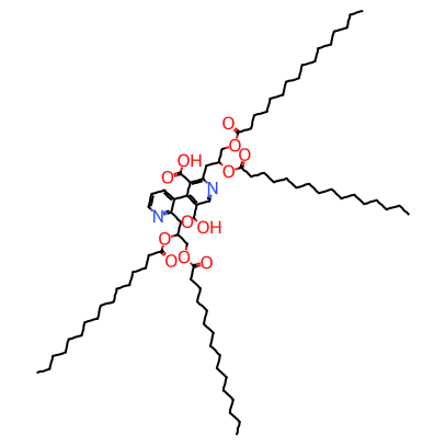 CCCCCCCCCCCCCCCC(=O)OCC(Cc1ncccc1-c1c(C(=O)O)cnc(CC(COC(=O)CCCCCCCCCCCCCCC)OC(=O)CCCCCCCCCCCCCCC)c1C(=O)O)OC(=O)CCCCCCCCCCCCCCC